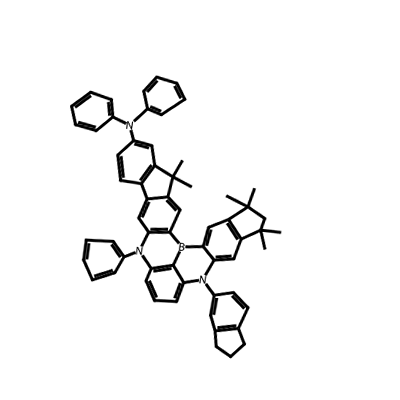 CC1(C)CC(C)(C)c2cc3c(cc21)B1c2cc4c(cc2N(c2ccccc2)c2cccc(c21)N3c1ccc2c(c1)CCC2)-c1ccc(N(c2ccccc2)c2ccccc2)cc1C4(C)C